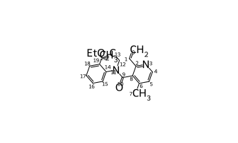 C=Cc1nccc(C)c1C(=O)N(CC(=O)OCC)c1ccccc1C